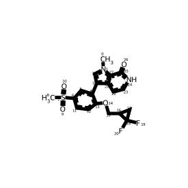 Cn1cc(-c2cc(S(C)(=O)=O)ccc2OCC2CC2(F)F)c2cc[nH]c(=O)c21